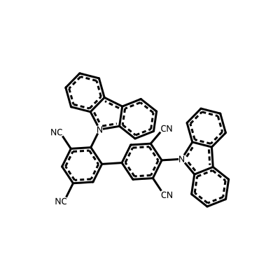 N#Cc1cc(C#N)c(-n2c3ccccc3c3ccccc32)c(-c2cc(C#N)c(-n3c4ccccc4c4ccccc43)c(C#N)c2)c1